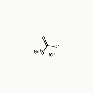 O=C([O-])[O-].[Nd+3].[O+2]